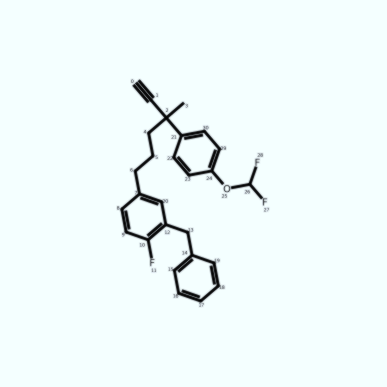 C#CC(C)(CCCc1ccc(F)c(Cc2ccccc2)c1)c1ccc(OC(F)F)cc1